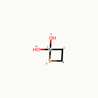 O[Si]1(O)CCS1